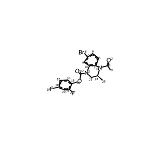 CC(=O)N1c2ccc(Br)cc2N(C(=O)Oc2ccc(F)cc2F)C[C@@H]1C